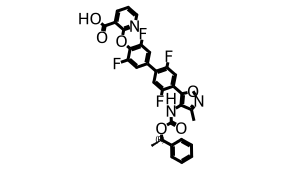 Cc1noc(-c2cc(F)c(-c3cc(F)c(Oc4ncccc4C(=O)O)c(F)c3)cc2F)c1NC(=O)O[C@H](C)c1ccccc1